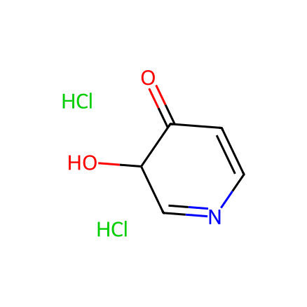 Cl.Cl.O=C1C=CN=CC1O